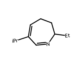 CCC1CCC=C(C(C)C)C=N1